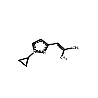 CC(C)=Cc1ccn(C2CC2)n1